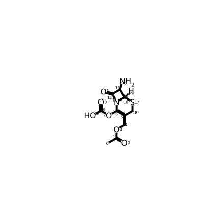 CC(=O)OCC1=C(OC(=O)O)N2C(=O)C(N)[C@@H]2SC1